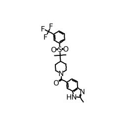 Cc1nc2ccc(C(=O)N3CCC(C(C)(C)S(=O)(=O)c4cccc(C(F)(F)F)c4)CC3)cc2[nH]1